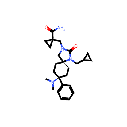 CN(C)[C@]1(c2ccccc2)CC[C@]2(CC1)CN(CC1(C(N)=O)CC1)C(=O)N2CC1CC1